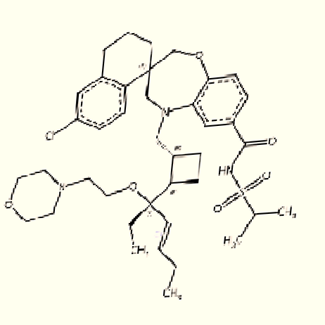 CC/C=C/[C@](CC)(OCCN1CCOCC1)[C@@H]1CC[C@H]1CN1C[C@@]2(CCCc3cc(Cl)ccc32)COc2ccc(C(=O)NS(=O)(=O)C(C)C)cc21